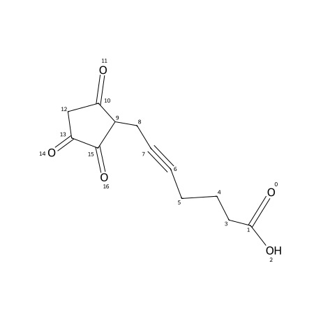 O=C(O)CCCC#CCC1C(=O)CC(=O)C1=O